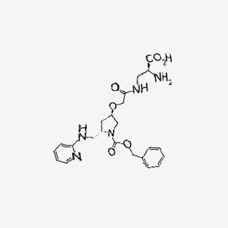 N[C@@H](CNC(=O)CO[C@@H]1C[C@@H](CNc2ccccn2)N(C(=O)OCc2ccccc2)C1)C(=O)O